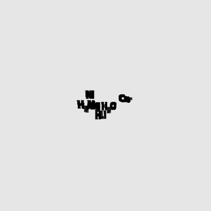 O.[Co].[LiH].[MgH2].[Ni]